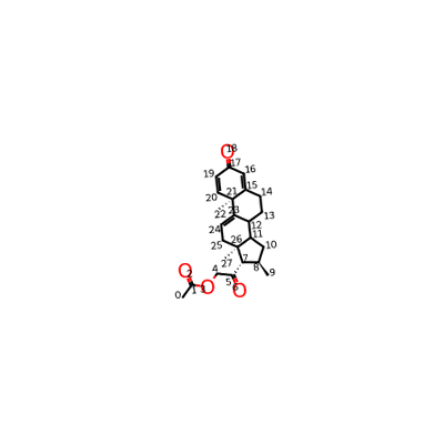 CC(=O)OCC(=O)[C@H]1[C@H](C)CC2C3CCC4=CC(=O)C=C[C@]4(C)C3=CC[C@@]21C